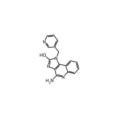 Nc1nc2ccccc2c2c1nc(O)n2Cc1cccnc1